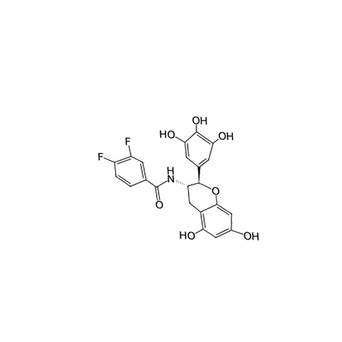 O=C(N[C@H]1Cc2c(O)cc(O)cc2O[C@@H]1c1cc(O)c(O)c(O)c1)c1ccc(F)c(F)c1